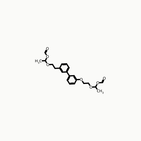 CC(OC=O)OCCOc1cccc(-c2cccc(CCOC(C)OC=O)c2)c1